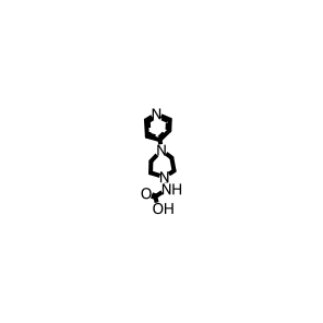 O=C(O)NN1CCN(c2ccncc2)CC1